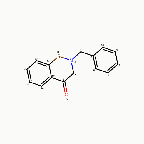 O=C1CN(Cc2ccccc2)Sc2ccccc21